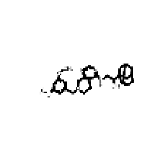 COc1cc(CN2CCc3c(ncnc3NCC(O)C34CC5CC(CC(C5)C3)C4)C2)cc(OC)c1